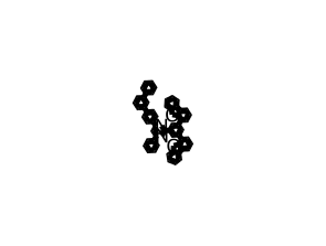 c1ccc(-c2cccc(-c3ccc(-c4cc(-c5ccccc5)nc(-c5cc(-c6cccc7c6oc6ccccc67)cc(-c6cccc7c6oc6ccccc67)c5)n4)cc3)c2)cc1